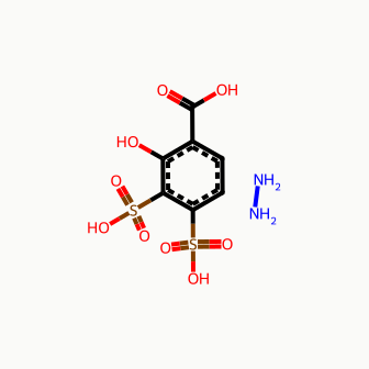 NN.O=C(O)c1ccc(S(=O)(=O)O)c(S(=O)(=O)O)c1O